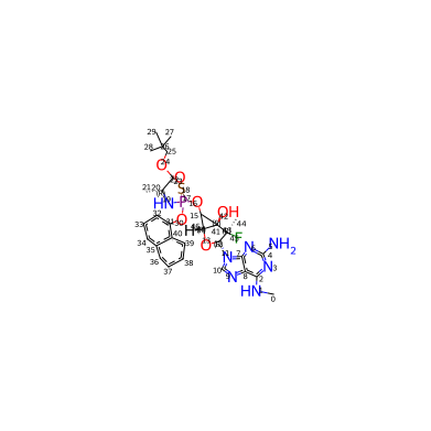 CNc1nc(N)nc2c1ncn2[C@@H]1O[C@@H]2C(OP(=S)(N[C@H](C)C(=O)OCC(C)(C)C)Oc3cccc4ccccc34)[C@]2(O)[C@@]1(C)F